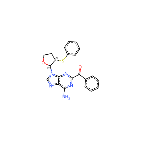 Nc1nc(C(=O)c2ccccc2)nc2c1ncn2[C@H]1OCC[C@@H]1Sc1ccccc1